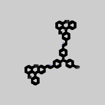 CCc1cccc(C)c1N(c1ccccc1)c1ccc(/C=C/c2ccc(N(c3ccc(/C=C/c4ccc(N(c5ccccc5)c5c(C)cccc5CC)cc4)cc3)c3ccc(C(C)C)cc3)cc2)cc1